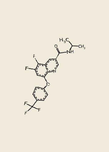 CC(C)NC(=O)c1cnc2c(Oc3ccc(C(F)(F)F)cc3)cc(F)c(F)c2c1